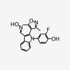 Cc1noc(C)c1-c1c(C=NO)c2ccccc2n1-c1ccc(O)c(F)c1